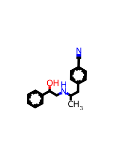 CC(Cc1ccc(C#N)cc1)NCC(O)c1ccccc1